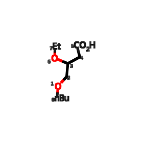 CCCCOCC(CC(=O)O)OCC